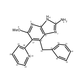 COc1nc2[nH]c(N)nc2c(Cc2ccccc2)c1-c1ccccn1